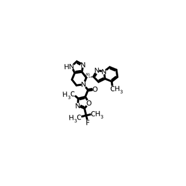 Cc1nc(C(C)(C)F)oc1C(=O)N1CCc2[nH]cnc2[C@@H]1c1cc2c(C)cccn2n1